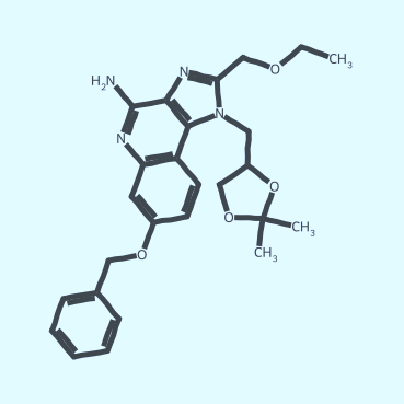 CCOCc1nc2c(N)nc3cc(OCc4ccccc4)ccc3c2n1CC1COC(C)(C)O1